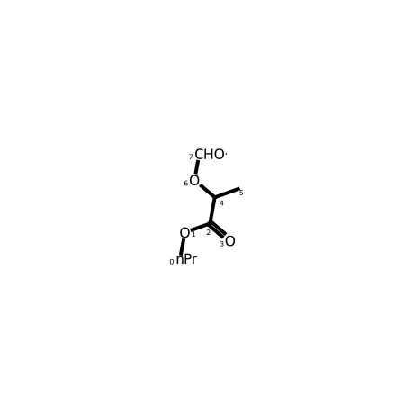 CCCOC(=O)C(C)O[C]=O